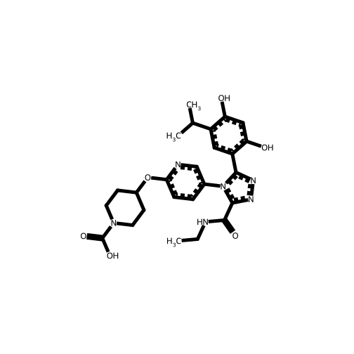 CCNC(=O)c1nnc(-c2cc(C(C)C)c(O)cc2O)n1-c1ccc(OC2CCN(C(=O)O)CC2)nc1